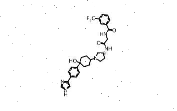 O=C(CNC(=O)c1cccc(C(F)(F)F)c1)N[C@@H]1CCN(C2CCC(O)(c3ccc(-c4c[nH]cn4)cc3)CC2)C1